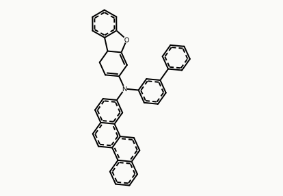 C1=C2Oc3ccccc3C2CC=C1N(c1cccc(-c2ccccc2)c1)c1ccc2ccc3c4ccccc4ccc3c2c1